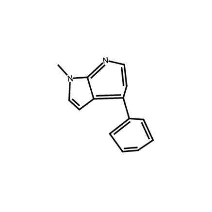 Cn1ccc2c(-c3ccccc3)ccnc21